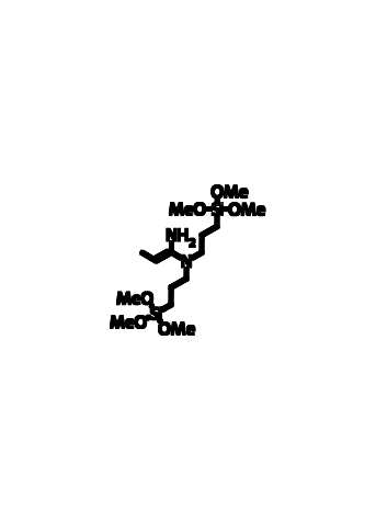 CC=C(N)N(CCC[Si](OC)(OC)OC)CCC[Si](OC)(OC)OC